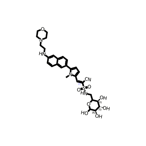 Cn1c(/C=C(\C#N)S(=O)(=O)NCC2OC(O)[C@H](O)[C@@H](O)[C@@H]2O)ccc1-c1ccc2cc(NCCN3CCOCC3)ccc2c1